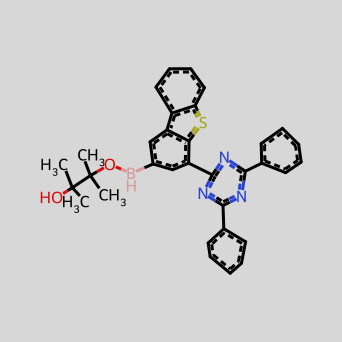 CC(C)(O)C(C)(C)OBc1cc(-c2nc(-c3ccccc3)nc(-c3ccccc3)n2)c2sc3ccccc3c2c1